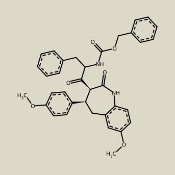 COc1ccc([C@@H]2Cc3cc(OC)ccc3NC(=O)[C@@H]2C(=O)C(Cc2ccccc2)NC(=O)OCc2ccccc2)cc1